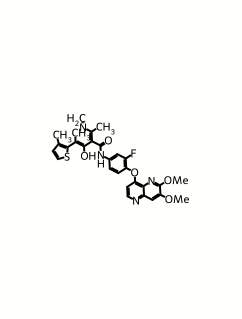 C=N/C(C)=C(C(=O)Nc1ccc(Oc2ccnc3cc(OC)c(OC)nc23)c(F)c1)\C(O)=C(/C)c1sccc1C